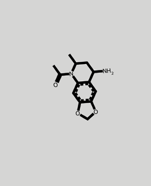 CC(=O)N1c2cc3c(cc2C(N)CC1C)OCO3